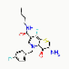 CCCCNC(=O)C1=CN(Cc2ccc(F)cc2)C2C(=O)[C@@H](N)CSC2=C1F